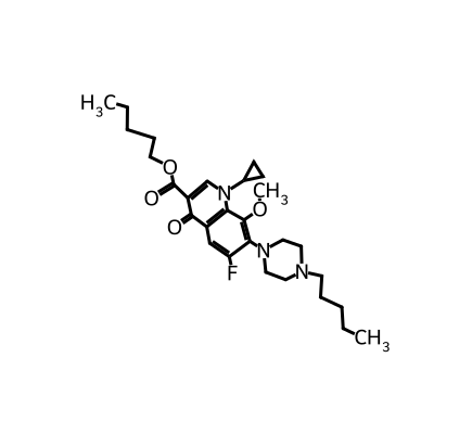 CCCCCOC(=O)c1cn(C2CC2)c2c(OC)c(N3CCN(CCCCC)CC3)c(F)cc2c1=O